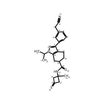 CC(C)n1nc(-c2cccc(CC#N)c2)c2c1CC(C(=O)NC1(C)CC(=S)C1)CC2